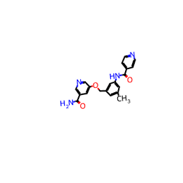 Cc1cc(COc2cncc(C(N)=O)c2)cc(NC(=O)c2ccncc2)c1